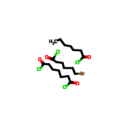 CCCCCCC(=O)Cl.O=C(Cl)CCCCCBr.O=C(Cl)CCCCCC(=O)Cl